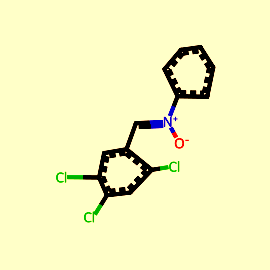 [O-][N+](=Cc1cc(Cl)c(Cl)cc1Cl)c1ccccc1